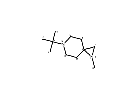 CN1CC12CCN(C(C)(C)C)CC2